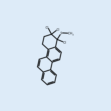 CSC1(Cl)c2ccc3c(ccc4ccccc43)c2CCC1(Cl)Cl